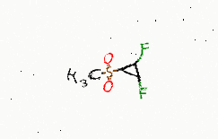 CS(=O)(=O)C1C(F)C1F